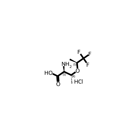 C[C@H](O[C@H](C)[C@H](N)C(=O)O)C(F)(F)F.Cl